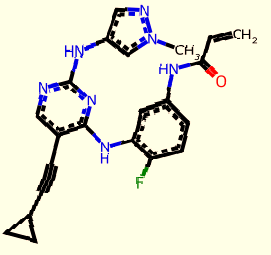 C=CC(=O)Nc1ccc(F)c(Nc2nc(Nc3cnn(C)c3)ncc2C#CC2CC2)c1